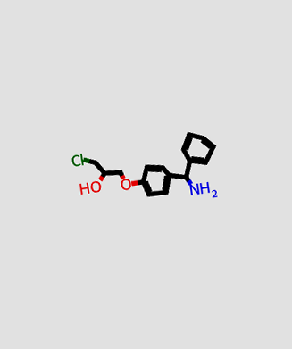 NC(c1ccccc1)c1ccc(OCC(O)CCl)cc1